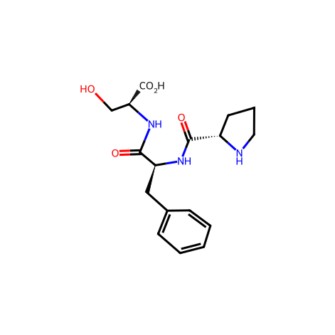 O=C(O)[C@H](CO)NC(=O)[C@H](Cc1ccccc1)NC(=O)[C@@H]1CCCN1